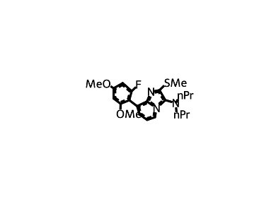 CCCN(CCC)c1c(SC)nc2c(-c3c(F)cc(OC)cc3OC)cccn12